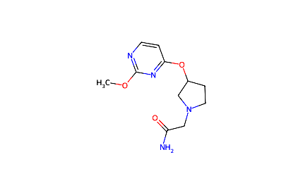 COc1nccc(OC2CCN(CC(N)=O)C2)n1